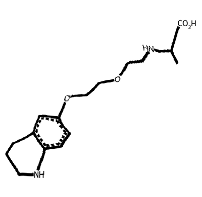 CC(NCCOCCOc1ccc2c(c1)CCCN2)C(=O)O